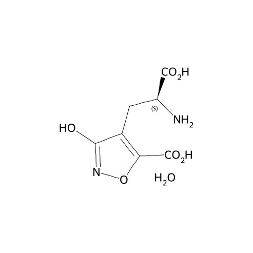 N[C@@H](Cc1c(O)noc1C(=O)O)C(=O)O.O